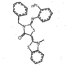 CCCc1ccccc1N=C1SC(=C2Sc3ccccc3N2C)C(=O)N1Cc1ccccc1